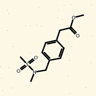 COC(=O)Cc1ccc(CN(C)S(C)(=O)=O)cc1